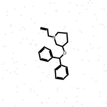 C=CCN1CCCC(OC(c2ccccc2)c2ccccc2)C1